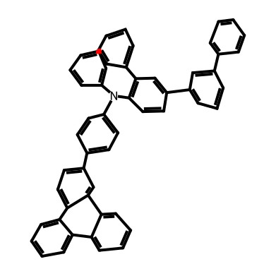 c1ccc(-c2cccc(-c3ccc(N(c4ccccc4)c4ccc(-c5ccc6c7ccccc7c7ccccc7c6c5)cc4)c(-c4ccccc4)c3)c2)cc1